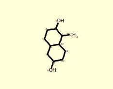 CC1C(O)CCC2CC(O)CCC21